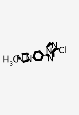 CN1CCN([C@H]2CC[C@H](c3ncc4c(Cl)nccn43)CC2)CC1